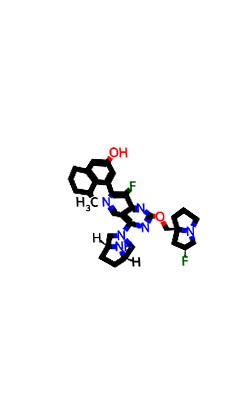 CC1CCCc2cc(O)cc(-c3ncc4c(N5C[C@H]6CC[C@@H](C5)N6)nc(OC[C@@]56CCCN5C[C@H](F)C6)nc4c3F)c21